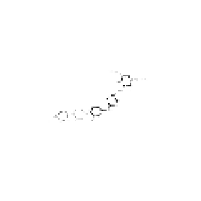 COc1cc(OC)c(F)c(COc2cnc(Nc3ccc(N4CCN(C5CCN(C)CC5)CC4)c(Cl)c3)nc2)c1F